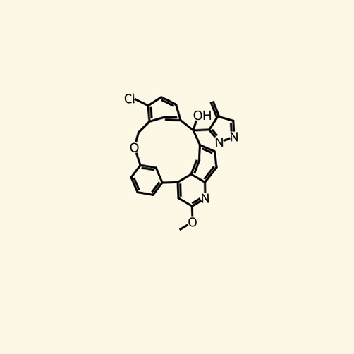 C=C1C=NN=C1C1(O)c2ccc(Cl)c(c2)COc2cccc(c2)-c2cc(OC)nc3ccc1cc23